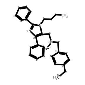 CCCCn1c(-c2ccccc2)nc(-c2ccccc2)c1CN(C)Cc1ccc(CC)cc1